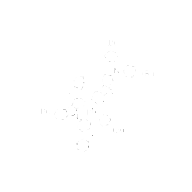 CC(C)(C)c1ccc(N2B3c4cc5c(cc4-n4c6ccc(C(C)(C)C)cc6c6c7c(c(c3c64)-c3cc4c(cc32)sc2cc(N(c3ccc(C(C)(C)C)cc3)c3ccc(C(C)(C)C)cc3)ccc24)-c2ccccc2C7(C)C)-c2ccccc2C5(C)C)cc1